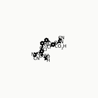 N#Cc1cncc(COc2cc(OCc3cccc(-c4cccc(COc5cc(OCc6cncc(C#N)c6)c(C(=O)NCC6(CO)CC6)cc5Cl)c4Cl)c3Cl)c(Cl)cc2C(=O)O)c1